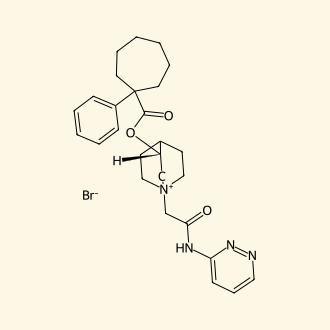 O=C(C[N+]12CCC(CC1)[C@@H](OC(=O)C1(c3ccccc3)CCCCCC1)C2)Nc1cccnn1.[Br-]